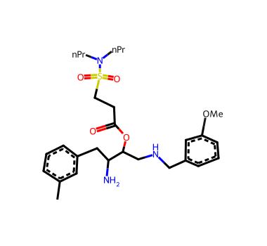 CCCN(CCC)S(=O)(=O)CCC(=O)OC(CNCc1cccc(OC)c1)C(N)Cc1cccc(C)c1